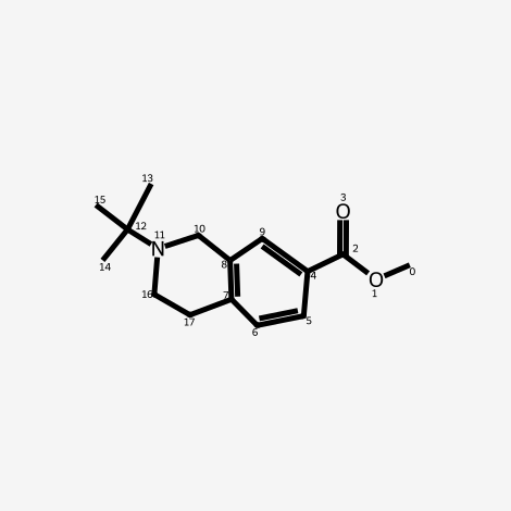 COC(=O)c1ccc2c(c1)CN(C(C)(C)C)CC2